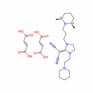 C[C@@H]1CCC[C@H](C)N1CCCN1CCN(CCN2CCCCC2)C1=C(C#N)C#N.O=C(O)C=CC(=O)O.O=C(O)C=CC(=O)O